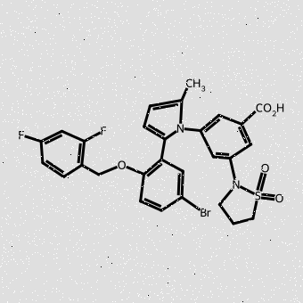 Cc1ccc(-c2cc(Br)ccc2OCc2ccc(F)cc2F)n1-c1cc(C(=O)O)cc(N2CCCS2(=O)=O)c1